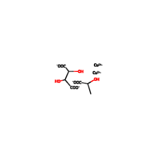 CC(O)C(=O)[O-].O=C([O-])C(O)C(O)C(=O)[O-].[Cu+2].[Cu+2]